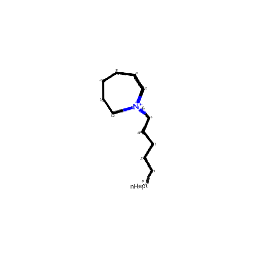 CCCCCCCCCCCC[N+]1CCCCCC1